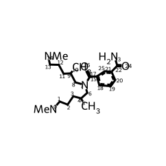 CNCCCC(C)CN(CC(C)CCCNC)C(=O)c1cccc(C(N)=O)c1